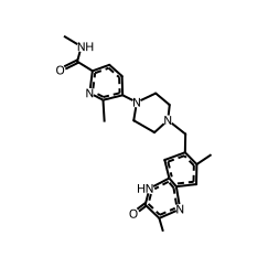 CNC(=O)c1ccc(N2CCN(Cc3cc4[nH]c(=O)c(C)nc4cc3C)CC2)c(C)n1